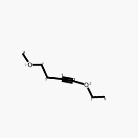 CCOC#CCCOC